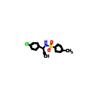 C#CC(NS(=O)(=O)c1ccc(C)cc1)c1ccc(Cl)cc1